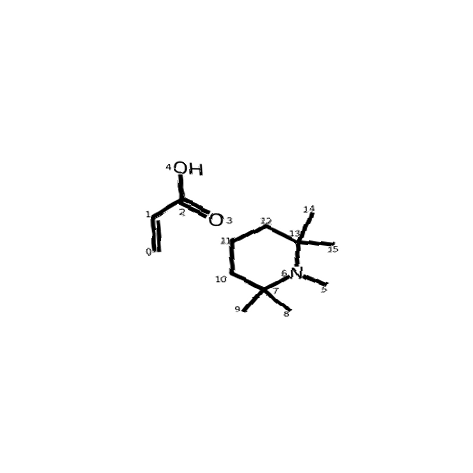 C=CC(=O)O.CN1C(C)(C)CCCC1(C)C